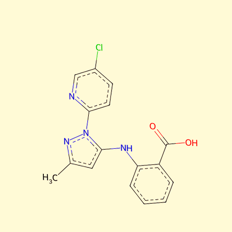 Cc1cc(Nc2ccccc2C(=O)O)n(-c2ccc(Cl)cn2)n1